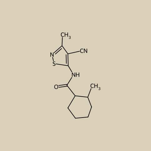 Cc1nsc(NC(=O)C2CCCCC2C)c1C#N